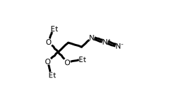 CCOC(CCN=[N+]=[N-])(OCC)OCC